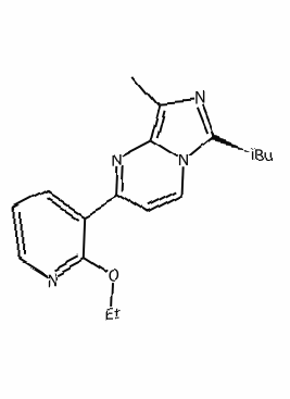 CCOc1ncccc1-c1ccn2c([C@H](C)CC)nc(C)c2n1